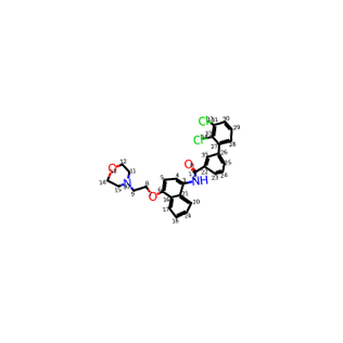 O=C(Nc1ccc(OCCN2CCOCC2)c2ccccc12)c1cccc(-c2cccc(Cl)c2Cl)c1